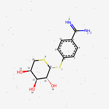 N=C(N)c1ccc(S[C@H]2SC[C@H](O)[C@H](O)[C@H]2O)cc1